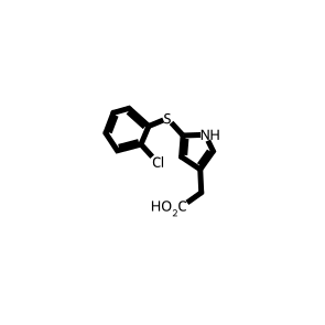 O=C(O)Cc1c[nH]c(Sc2ccccc2Cl)c1